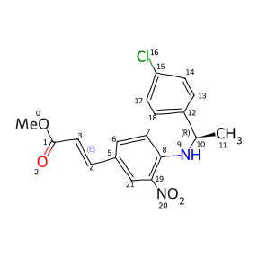 COC(=O)/C=C/c1ccc(N[C@H](C)c2ccc(Cl)cc2)c([N+](=O)[O-])c1